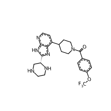 O=C(c1ccc(OC(F)(F)F)cc1)N1CCC(c2ccnc3[nH]c([C@H]4CNCCN4)nc23)CC1